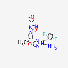 C[C@H](Oc1cnc(N2C[C@H](c3cc(F)ccc3F)[C@@H](N)C2)nc1)C1CCN(c2nc([C@@H]3CCOC3)no2)CC1